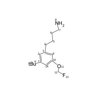 CC(C)(C)c1cc(CCCCN)cc(OCF)c1